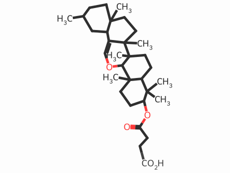 CC1CCC2(C)CCC3(C)C(=COC4C5(C)CCC(OC(=O)CCC(=O)O)C(C)(C)C5CCC43C)C2C1